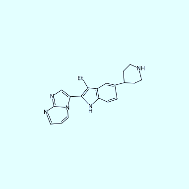 CCc1c(-c2cnc3ncccn23)[nH]c2ccc(C3CCNCC3)cc12